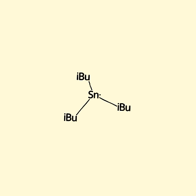 CC[CH](C)[Sn]([CH](C)CC)[CH](C)CC